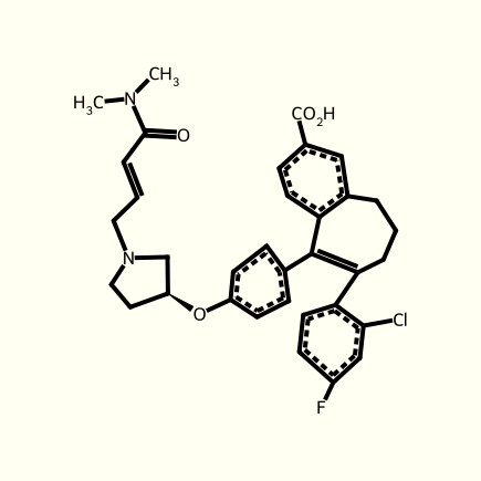 CN(C)C(=O)C=CCN1CC[C@H](Oc2ccc(C3=C(c4ccc(F)cc4Cl)CCCc4cc(C(=O)O)ccc43)cc2)C1